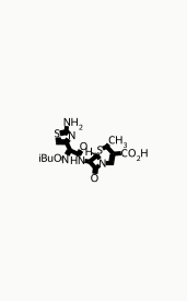 CC(C)CON=C(C(=O)NC1C(=O)N2C=C(C(=O)O)C(C)S[C@H]12)c1csc(N)n1